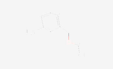 [CH2]c1cccc(COCC)c1